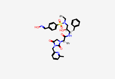 Cc1cccc(CN2C(=O)CN([C@H](C(=O)N[C@@H](Cc3ccccc3)[C@@H](O)CN(CC(C)C)S(=O)(=O)c3ccc(C=NO)cc3)C(C)C)C2=O)n1